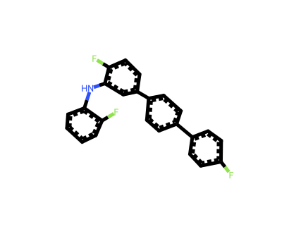 Fc1ccc(-c2ccc(-c3ccc(F)c(Nc4ccccc4F)c3)cc2)cc1